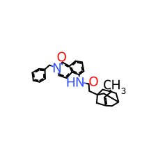 CC12C=C3CC(C1)CC(CC(=O)Nc1cccc4c(=O)n(Cc5ccccc5)ccc14)(C3)C2